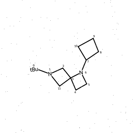 CC(C)(C)N1CC2(CCN2C2CCC2)C1